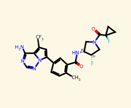 Cc1ccc(-c2cc(C(F)(F)F)c3c(N)ncnn23)cc1C(=O)N[C@@H]1CN(C(=O)C2(F)CC2)C[C@@H]1F